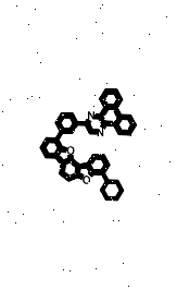 c1cc(-c2cnc3c4ccccc4c4ccccc4c3n2)cc(-c2cccc3c2oc2c3ccc3oc4c(C5CCCCC5)cccc4c32)c1